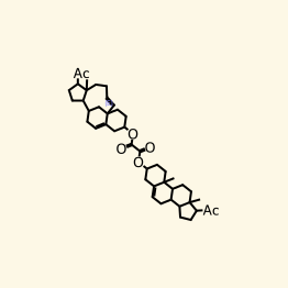 CC(=O)C1CCC2C3CC=C4CC(OC(=O)C(=O)OC5CCC6(C)C(=CCC7C6CCC6(C)C(C(C)=O)CCC76)C5)CCC4(/C=C/CCC12C)C3